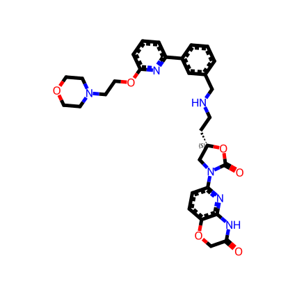 O=C1COc2ccc(N3C[C@H](CCNCc4cccc(-c5cccc(OCCN6CCOCC6)n5)c4)OC3=O)nc2N1